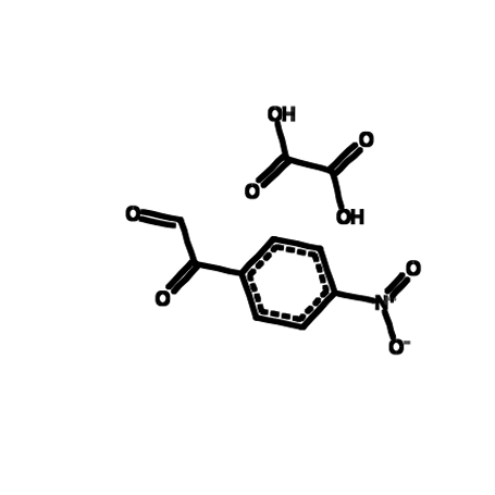 O=C(O)C(=O)O.O=CC(=O)c1ccc([N+](=O)[O-])cc1